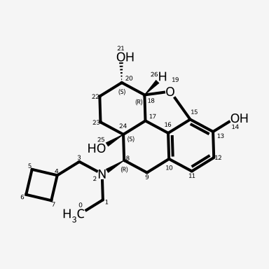 CCN(CC1CCC1)[C@@H]1Cc2ccc(O)c3c2C2[C@@H](O3)[C@@H](O)CC[C@]21O